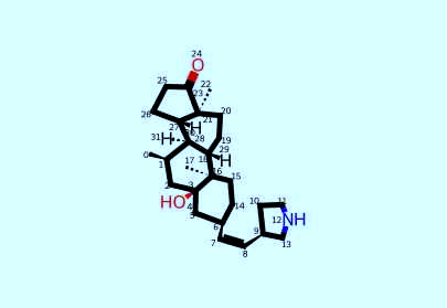 C[C@@H]1C[C@@]2(O)C[C@H](/C=C\[C@H]3CCNC3)CC[C@]2(C)[C@H]2CC[C@]3(C)C(=O)CC[C@H]3[C@H]12